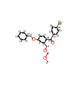 COCOCc1cc(OCc2ccccc2)ccc1C(=O)c1ccc(Br)cc1